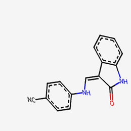 N#Cc1ccc(NC=C2C(=O)Nc3ccccc32)cc1